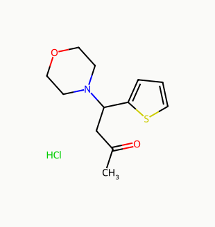 CC(=O)CC(c1cccs1)N1CCOCC1.Cl